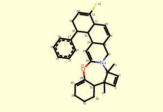 CC12C=CC1(C)N1CC3C=CC4C(F)=CCC(c5ccccc5)C4C3C=C1OC1=CCCCC12